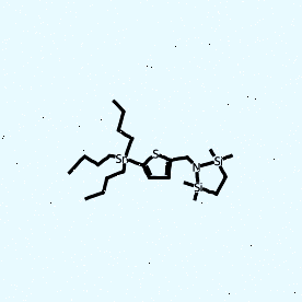 CCC[CH2][Sn]([CH2]CCC)([CH2]CCC)[c]1ccc(CN2[Si](C)(C)CC[Si]2(C)C)s1